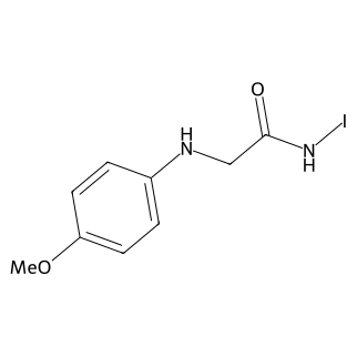 COc1ccc(NCC(=O)NI)cc1